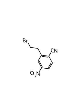 N#Cc1ccc([N+](=O)[O-])cc1CCBr